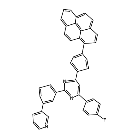 Fc1ccc(-c2cc(-c3ccc(-c4ccc5ccc6cccc7ccc4c5c67)cc3)nc(-c3cccc(-c4cccnc4)c3)n2)cc1